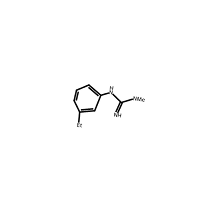 CCc1cccc(NC(=N)NC)c1